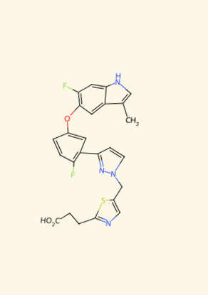 Cc1c[nH]c2cc(F)c(Oc3ccc(F)c(-c4ccn(Cc5cnc(CCC(=O)O)s5)n4)c3)cc12